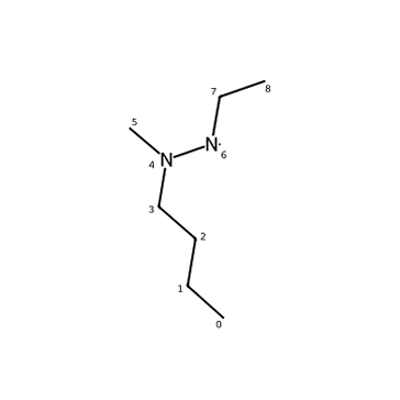 CCCCN(C)[N]CC